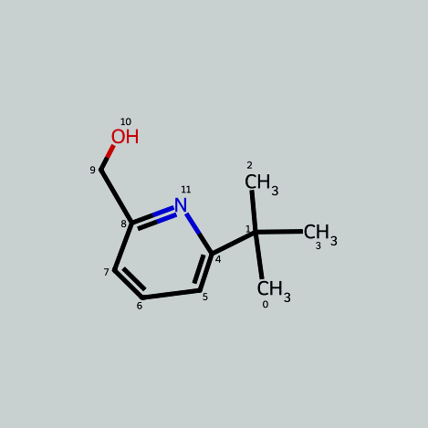 CC(C)(C)c1cccc(CO)n1